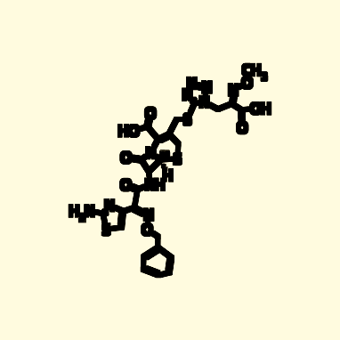 CON=C(Cn1nnnc1SCC1=C(C(=O)O)N2C(=O)C(NC(=O)C(=NOCc3ccccc3)c3csc(N)n3)[C@@H]2SC1)C(=O)O